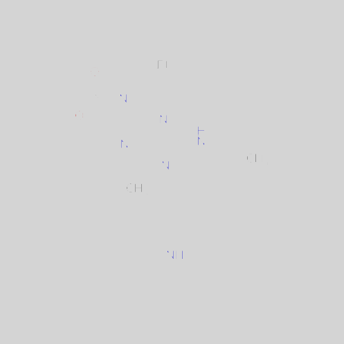 CC[C@H]1COC(=O)N1c1nc(C)nc(N[C@H](C)c2ccc(Nc3ccccc3)cc2)n1